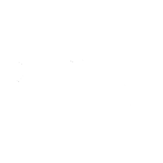 C/N=c1\sc(C2CCN(C(=O)CCS(=O)(=O)c3ccc4cc(Cl)ccc4c3)CC2)c(C)n1C